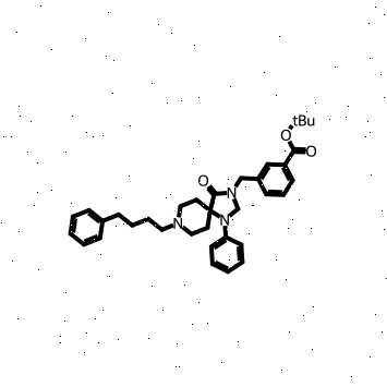 CC(C)(C)OC(=O)c1cccc(CN2CN(c3ccccc3)C3(CCN(CCCCc4ccccc4)CC3)C2=O)c1